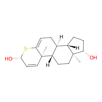 C[C@]12CC[C@H]3[C@@H](CC=C4S[C@@H](O)C=C[C@@]43C)[C@@H]1CC[C@@H]2O